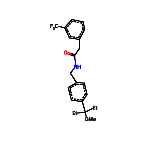 CCC(CC)(OC)c1ccc(CNC(=O)Cc2cccc(C(F)(F)F)c2)cc1